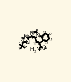 CC(C)(C)c1nc(-c2ncn3c2cc(C(N)=O)c2ccccc23)no1